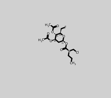 CCCN(CCl)C(=O)O[C@H]1C[C@@H](OC(C)=O)[C@H](OC(C)=O)[C@@H](CF)O1